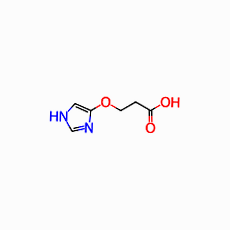 O=C(O)CCOc1c[nH]cn1